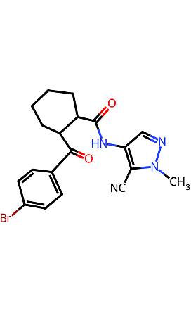 Cn1ncc(NC(=O)C2CCCCC2C(=O)c2ccc(Br)cc2)c1C#N